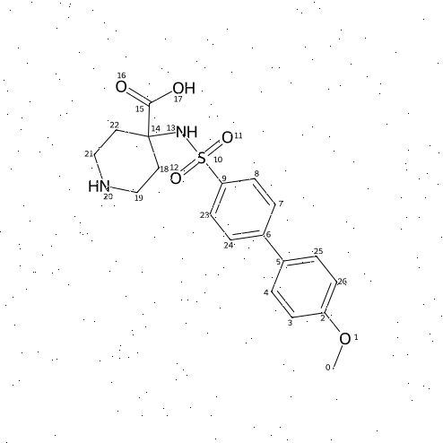 COc1ccc(-c2ccc(S(=O)(=O)NC3(C(=O)O)CCNCC3)cc2)cc1